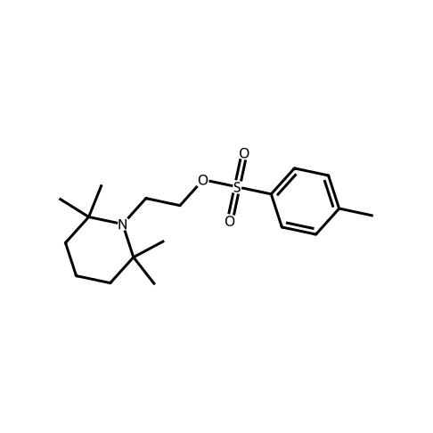 Cc1ccc(S(=O)(=O)OCCN2C(C)(C)CCCC2(C)C)cc1